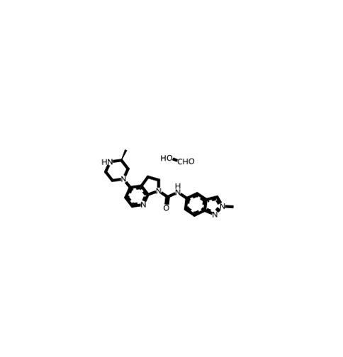 C[C@H]1CN(c2ccnc3c2CCN3C(=O)Nc2ccc3nn(C)cc3c2)CCN1.O=CO